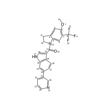 COc1cc2c(cc1C(F)(F)F)N(C(=O)c1c[nH]c3cc(-c4cccnc4)ccc13)CC2